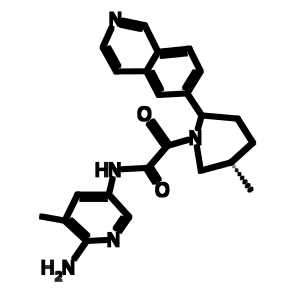 Cc1cc(NC(=O)C(=O)N2C[C@@H](C)CCC2c2ccc3cnccc3c2)cnc1N